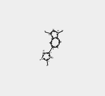 Cc1nc(-c2ccc3c(c2)c(C)cn3C)no1